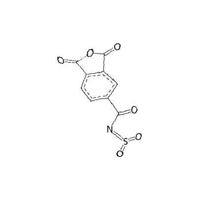 O=C(N=S(=O)=O)c1ccc2c(c1)C(=O)OC2=O